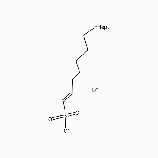 CCCCCCCCCCCC/C=C/S(=O)(=O)[O-].[Li+]